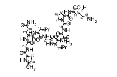 CC(C)C[C@H](NC(=O)CNC(=O)[C@H](CC(C)C)NC(=O)[C@H](CCC(N)=O)NC(=O)CNC(=O)[C@@H]1CC[C@@H](C)N1)C(=O)N[C@@H](C)C(=O)NCC(=O)N1CCC[C@H]1C(=O)N[C@@H](CCCCN)C(=O)O